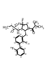 CCS(=O)(=O)N[C@@H]1[C@H](Cc2cccc(-c3ccccc3F)c2F)N(C(=O)C(C)C)CC1(F)F